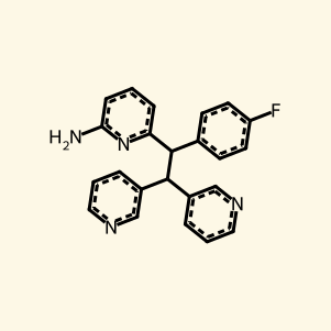 Nc1cccc(C(c2ccc(F)cc2)C(c2cccnc2)c2cccnc2)n1